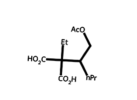 CCCC(COC(C)=O)C(CC)(C(=O)O)C(=O)O